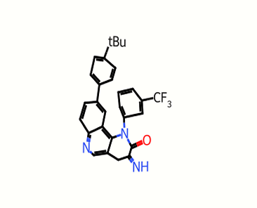 CC(C)(C)c1ccc(-c2ccc3ncc4c(c3c2)N(c2cccc(C(F)(F)F)c2)C(=O)C(=N)C4)cc1